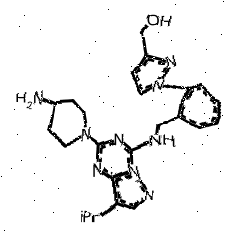 CC(C)c1cnn2c(NCc3ccccc3-n3ccc(CO)n3)nc(N3CCC(N)CC3)nc12